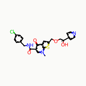 Cn1cc(C(=O)NCc2ccc(Cl)cc2)c(=O)c2cc(COC[C@H](O)c3ccncc3)sc21